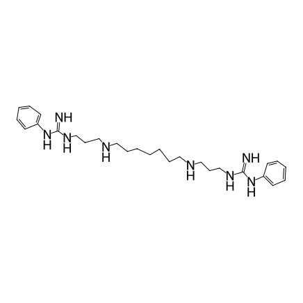 N=C(NCCCNCCCCCCCNCCCNC(=N)Nc1ccccc1)Nc1ccccc1